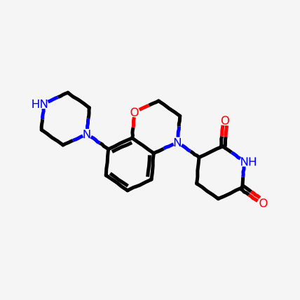 O=C1CCC(N2CCOc3c(N4CCNCC4)cccc32)C(=O)N1